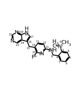 CN(C)c1ccccc1CNc1ccc(Cc2c[nH]c3ncncc23)c(F)n1